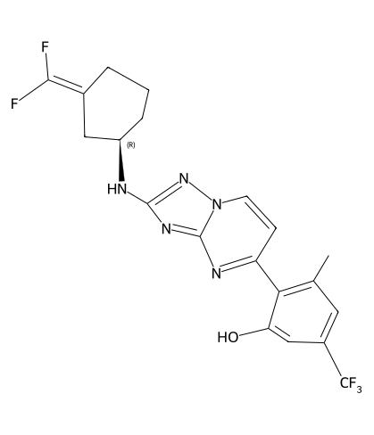 Cc1cc(C(F)(F)F)cc(O)c1-c1ccn2nc(N[C@@H]3CCCC(=C(F)F)C3)nc2n1